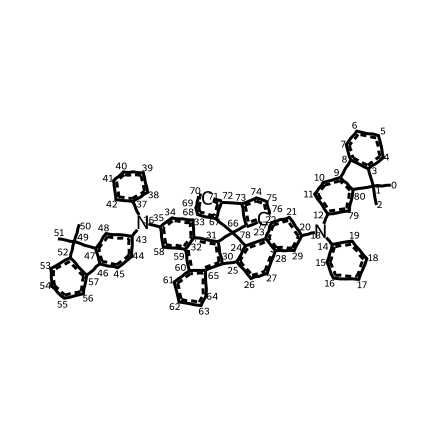 CC1(C)c2ccccc2-c2ccc(N(c3ccccc3)c3ccc4c5c(ccc4c3)-c3c(c4ccc(N(c6ccccc6)c6ccc7c(c6)C(C)(C)c6ccccc6-7)cc4c4ccccc34)C53c4ccccc4-c4ccccc43)cc21